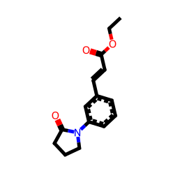 CCOC(=O)/C=C/c1cccc(N2CCCC2=O)c1